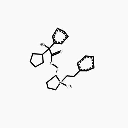 C[N+]1(CCc2ccccc2)CCC[C@@H]1COC(=O)C(O)(c1ccccc1)C1CCCC1